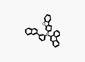 c1cc(-c2ccc3ccccc3c2)cc(N(c2ccc3c(c2)oc2ccccc23)c2cc3ccccc3c3ccccc23)c1